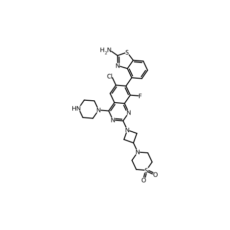 Nc1nc2c(-c3c(Cl)cc4c(N5CCNCC5)nc(N5CC(N6CCS(=O)(=O)CC6)C5)nc4c3F)cccc2s1